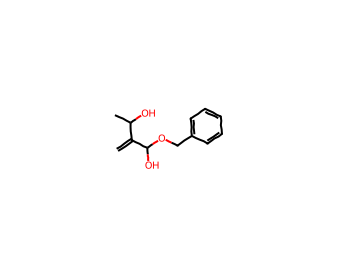 C=C(C(C)O)C(O)OCc1ccccc1